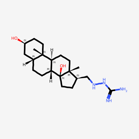 C[C@]12CC[C@H](O)C[C@H]1CC[C@@H]1[C@@H]2CC[C@]2(C)[C@@H](CNNC(=N)N)CC[C@]12O